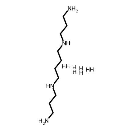 NCCCNCCCCNCCCN.[HH].[HH].[HH].[HH]